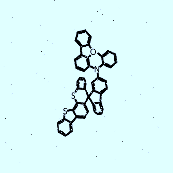 Cc1ccccc1N(c1ccc2c(c1)C1(c3ccccc3Sc3c1ccc1c3sc3ccccc31)c1ccccc1-2)c1cccc2c1oc1ccccc12